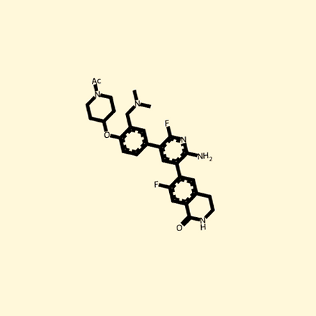 CC(=O)N1CCC(Oc2ccc(-c3cc(-c4cc5c(cc4F)C(=O)NCC5)c(N)nc3F)cc2CN(C)C)CC1